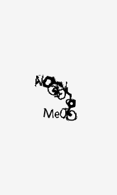 COC(=O)c1ccc(CCCN(Cc2ccc(N(C)C)cc2)S(C)(=O)=O)s1